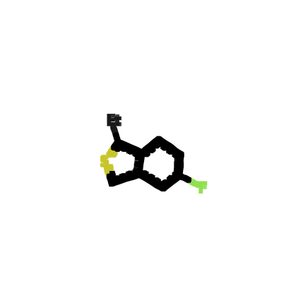 CCc1scc2cc(F)ccc12